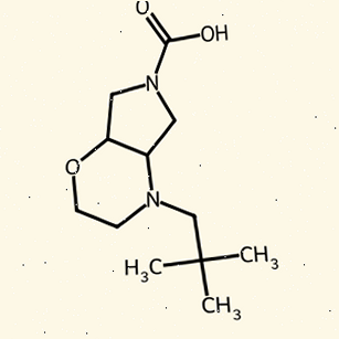 CC(C)(C)CN1CCOC2CN(C(=O)O)CC21